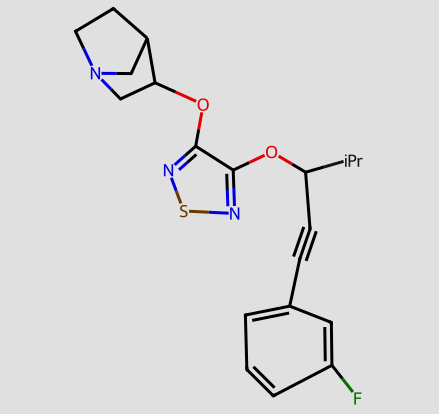 CC(C)C(C#Cc1cccc(F)c1)Oc1nsnc1OC1CN2CCC1C2